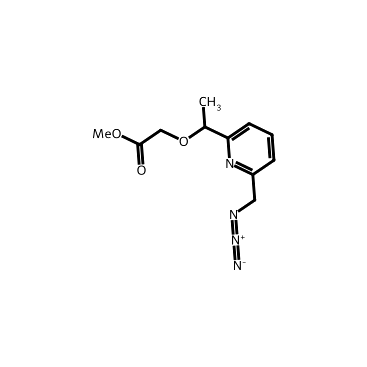 COC(=O)COC(C)c1cccc(CN=[N+]=[N-])n1